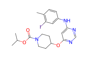 Cc1ccc(Nc2cc(OC3CCN(C(=O)OC(C)C)CC3)ncn2)cc1I